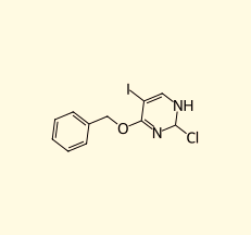 ClC1N=C(OCc2ccccc2)C(I)=CN1